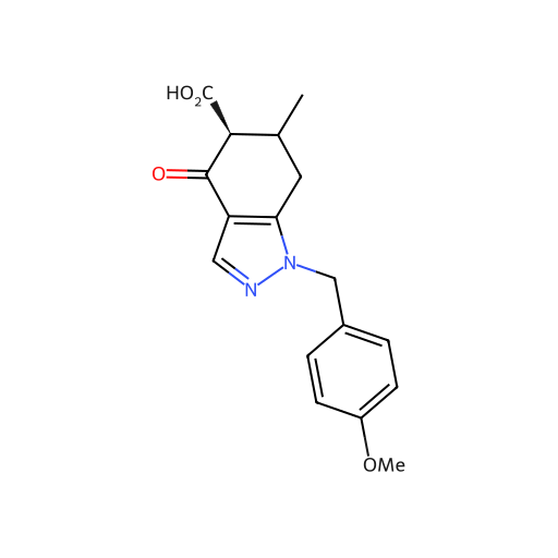 COc1ccc(Cn2ncc3c2CC(C)[C@H](C(=O)O)C3=O)cc1